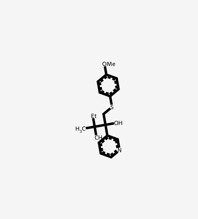 CCC(C)(C)C(O)(CSc1ccc(OC)cc1)c1cccnc1